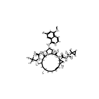 COc1cc(F)cc2c(O[C@@H]3C[C@H]4C(=O)N[C@]5(C(=O)NS(=O)(=O)C6(C)CC6)C[C@H]5/C=C\CC[C@H](C)C[C@@H](C)[C@H](N(C(=O)O)[C@H](C)C(F)(F)F)C(=O)N4C3)nccc12